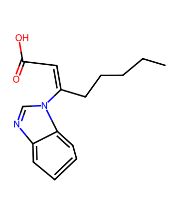 CCCCC/C(=C/C(=O)O)n1cnc2ccccc21